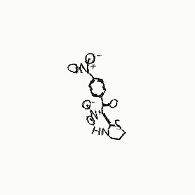 O=C(C(=C1NCCCS1)[N+](=O)[O-])c1ccc([N+](=O)[O-])cc1